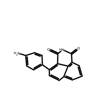 Nc1ccc(-c2ccc3cccc4c3c2C(=O)NC4=O)cc1